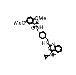 COc1ccc(OC)c(S(=O)(=O)NC[C@H]2CC[C@H](CNc3nc(NC4CC4)c4ccccc4n3)CC2)c1